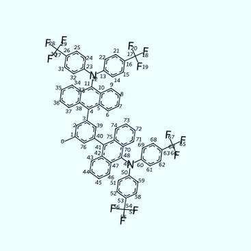 Cc1cc(-c2c3ccccc3c(N(c3ccc(C(F)(F)F)cc3)c3ccc(C(F)(F)F)cc3)c3ccccc23)cc(-c2c3ccccc3c(N(c3ccc(C(F)(F)F)cc3)c3ccc(C(F)(F)F)cc3)c3ccccc23)c1